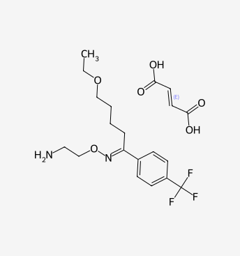 CCOCCCCC(=NOCCN)c1ccc(C(F)(F)F)cc1.O=C(O)/C=C/C(=O)O